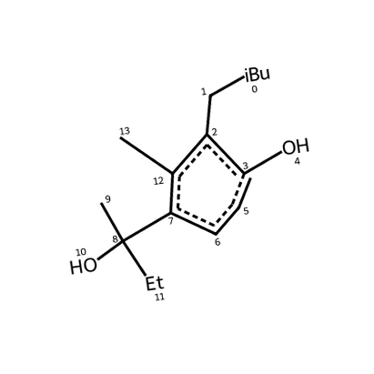 CCC(C)Cc1c(O)ccc(C(C)(O)CC)c1C